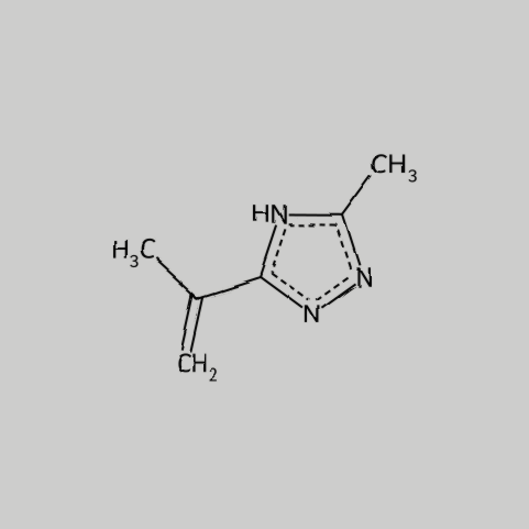 C=C(C)c1nnc(C)[nH]1